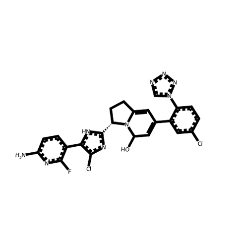 Nc1ccc(-c2[nH]c([C@@H]3CCC4=CC(c5cc(Cl)ccc5-n5cnnn5)=CC(O)N43)nc2Cl)c(F)n1